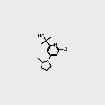 CC1CCCN1c1cc(Cl)nc(C(C)(C)O)c1